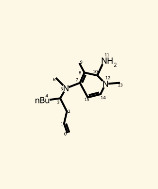 C=CCC(CCCC)N(C)C1=C(C)C(N)N(C)C=C1